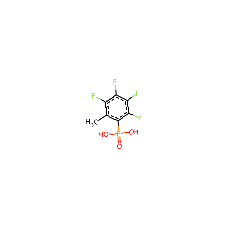 Cc1c(F)c(F)c(F)c(F)c1P(=O)(O)O